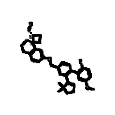 COc1ccc(F)c(-c2ccc(COc3ccc4c(c3)[C@@]3(CCC4)CC[C@H]3C=O)cc2C2=CCCC2(C)C)c1